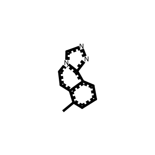 Cc1cccc2c1ccn1cnnc21